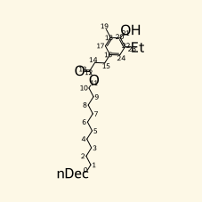 CCCCCCCCCCCCCCCCCCCCOC(=O)CCc1cc(C)c(O)c(CC)c1